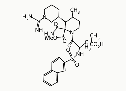 CC(=O)O.COC(=O)C1(C(N)=O)C([C@@H]2CCCN(C(=N)N)C2)C(C)CCN1C(=O)C(C)NS(=O)(=O)c1ccc2ccccc2c1